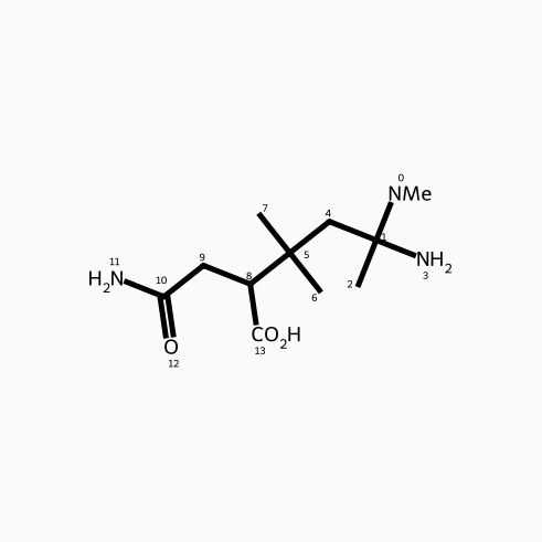 CNC(C)(N)CC(C)(C)C(CC(N)=O)C(=O)O